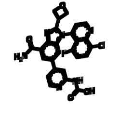 NC(=O)c1cc(-c2ccnc(NC(=O)O)c2)cc2c1nc(C1COC1)n2-c1ccnc2c(Cl)ccc(F)c12